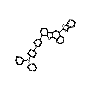 c1ccc(N(c2ccccc2)c2ccc(-c3ccc(-c4cccc5c4oc4c6ccccc6c(-c6nc7ccccc7o6)cc54)cc3)cc2)cc1